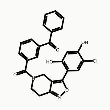 O=C(c1ccccc1)c1cccc(C(=O)N2CCc3noc(-c4cc(Cl)c(O)cc4O)c3C2)c1